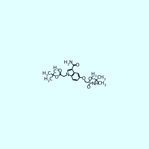 CC(C)(C)NS(=O)(=O)COc1ccc2c(c1)c(C(N)=O)cn2CC(=O)OC(C)(C)C